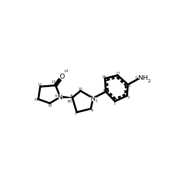 Nc1ccc(N2CC[C@@H](N3CCCC3=O)C2)cc1